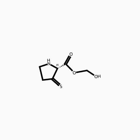 O=C(OCO)[C@H]1NCCC1=S